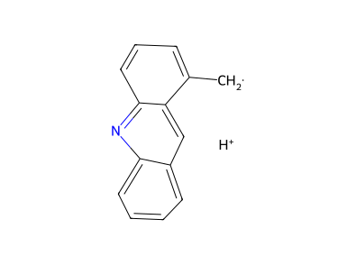 [CH2]c1cccc2nc3ccccc3cc12.[H+]